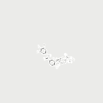 CC(=O)[C@@]1(O)CC2C[C@H](C)C(C1)C2S(=O)(=O)c1cc(C(=O)Nc2cc(F)c(F)c(F)c2)ccc1Cl